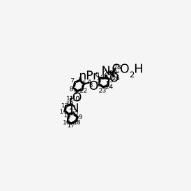 CCCc1c(OCc2cccc(OCc3ccc4ccccc4n3)c2)ccc2oc(C(=O)O)nc12